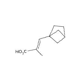 C/C(=C\C12CCC(C1)C2)C(=O)O